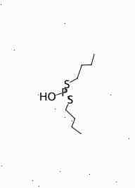 CCCCSP(O)SCCCC